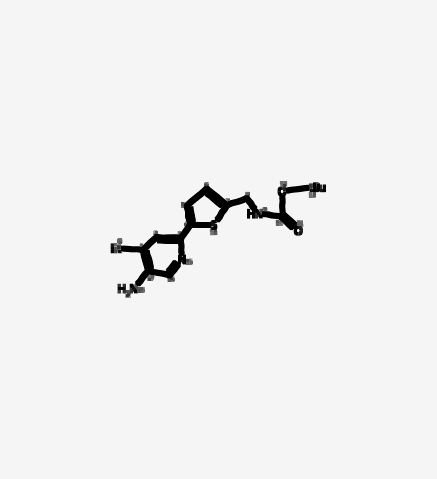 CCc1cc(-c2ccc(CNC(=O)OC(C)(C)C)s2)ncc1N